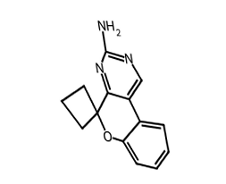 Nc1ncc2c(n1)C1(CCC1)Oc1ccccc1-2